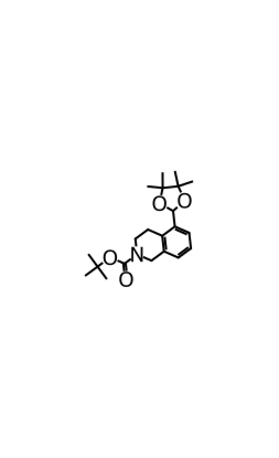 CC(C)(C)OC(=O)N1CCc2c(cccc2C2OC(C)(C)C(C)(C)O2)C1